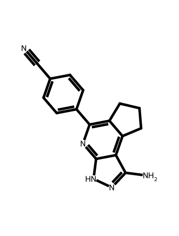 N#Cc1ccc(-c2nc3[nH]nc(N)c3c3c2CCC3)cc1